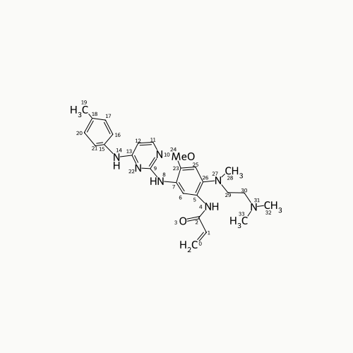 C=CC(=O)Nc1cc(Nc2nccc(Nc3ccc(C)cc3)n2)c(OC)cc1N(C)CCN(C)C